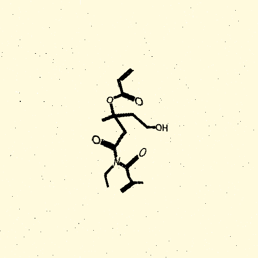 C=CC(=O)OC(C)(CCO)CC(=O)N(CC)C(=O)C(=C)C